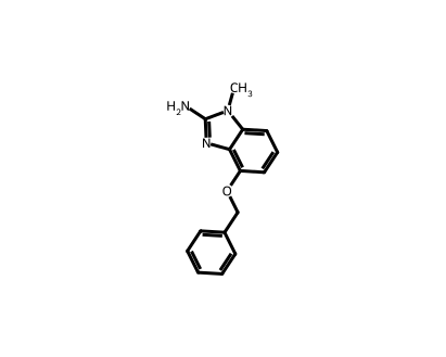 Cn1c(N)nc2c(OCc3ccccc3)cccc21